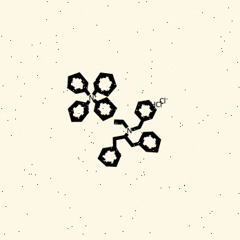 C=CN(Cc1ccccc1)C(Cc1ccccc1)Cc1ccccc1.Cl.[Cl-].c1ccc([N+](c2ccccc2)(c2ccccc2)c2ccccc2)cc1